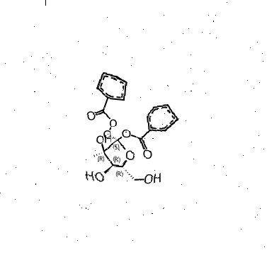 C[C@@]1(O)[C@H](O)[C@@H](CO)O[C@]1(OOC(=O)c1ccccc1)OC(=O)c1ccccc1